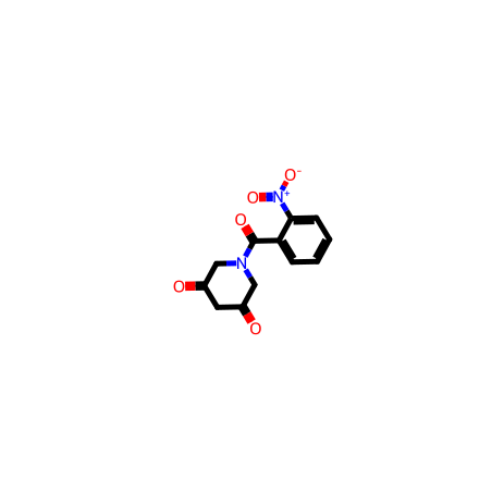 O=C1CC(=O)CN(C(=O)c2ccccc2[N+](=O)[O-])C1